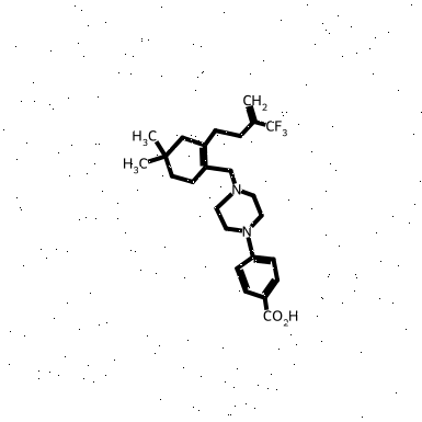 C=C(CCC1=C(CN2CCN(c3ccc(C(=O)O)cc3)CC2)CCC(C)(C)C1)C(F)(F)F